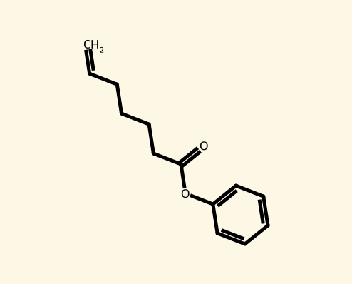 C=CCCCCC(=O)Oc1ccccc1